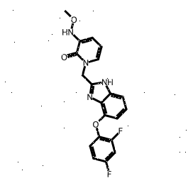 CONc1cccn(Cc2nc3c(Oc4ccc(F)cc4F)cccc3[nH]2)c1=O